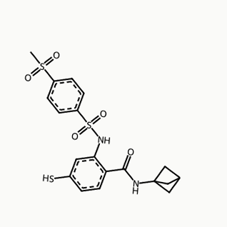 CS(=O)(=O)c1ccc(S(=O)(=O)Nc2cc(S)ccc2C(=O)NC23CC(C2)C3)cc1